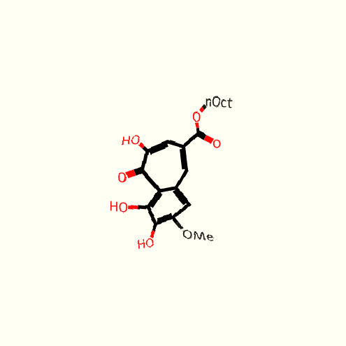 CCCCCCCCOC(=O)c1cc(O)c(=O)c2c(O)c(O)c(OC)cc2c1